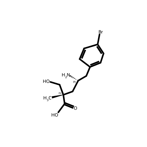 C[C@@](CO)(C[C@H](N)Cc1ccc(Br)cc1)C(=O)O